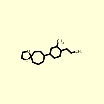 CCCC1CCC(C2CCCC3(CC2)OCCO3)CC1C